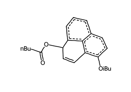 CCCCC(=O)OC1C=Cc2c(OCC(C)C)ccc3cccc1c23